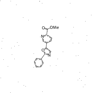 COC(=O)c1ccc(-c2cnc(-c3ccccc3)o2)cn1